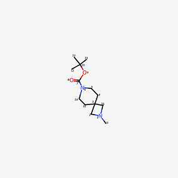 CN1CC2(CCN(C(=O)OC(C)(C)C)CC2)C1